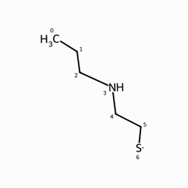 CCCNCC[S]